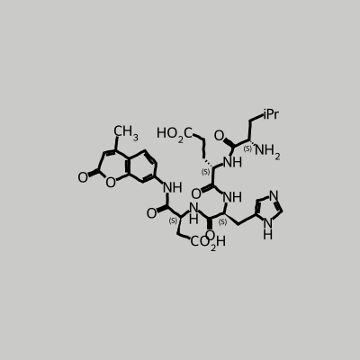 Cc1cc(=O)oc2cc(NC(=O)[C@H](CC(=O)O)NC(=O)[C@H](Cc3cnc[nH]3)NC(=O)[C@H](CCC(=O)O)NC(=O)[C@@H](N)CC(C)C)ccc12